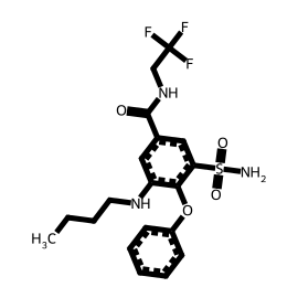 CCCCNc1cc(C(=O)NCC(F)(F)F)cc(S(N)(=O)=O)c1Oc1ccccc1